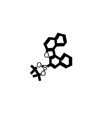 CC1(C)OB(c2cc3ccccc3c3c2oc2ccc4ccccc4c23)OC1(C)C